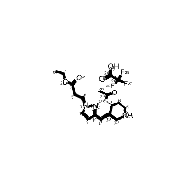 CCOC(=O)CCn1ccc(C=C2CNCC[C@H]2SC(C)=O)n1.O=C(O)C(F)(F)F